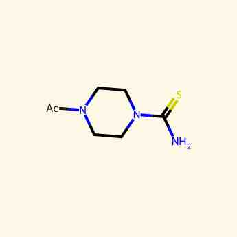 CC(=O)N1CCN(C(N)=S)CC1